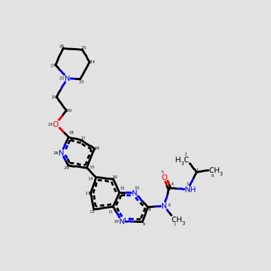 CC(C)NC(=O)N(C)c1cnc2ccc(-c3ccc(OCCN4CCCCC4)nc3)cc2n1